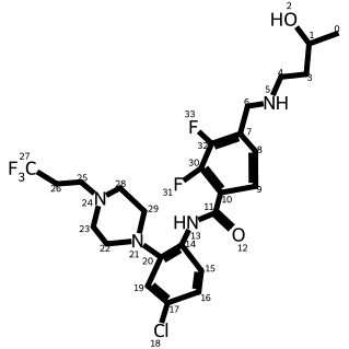 CC(O)CCNCc1ccc(C(=O)Nc2ccc(Cl)cc2N2CCN(CCC(F)(F)F)CC2)c(F)c1F